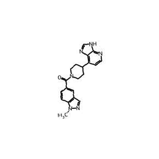 Cn1ncc2cc(C(=O)N3CCC(c4ccnc5[nH]cnc45)CC3)ccc21